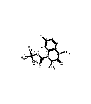 C[C@@H]1C(=O)N(C)c2ccc(I)nc2N1C(=O)OC(C)(C)C